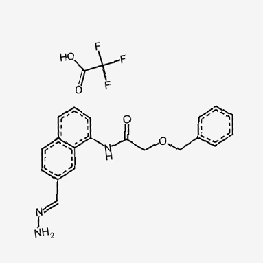 NN=Cc1ccc2cccc(NC(=O)COCc3ccccc3)c2c1.O=C(O)C(F)(F)F